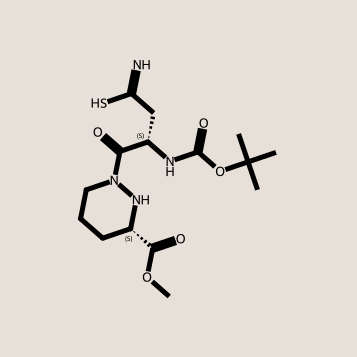 COC(=O)[C@@H]1CCCN(C(=O)[C@H](CC(=N)S)NC(=O)OC(C)(C)C)N1